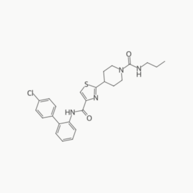 CCCNC(=O)N1CCC(c2nc(C(=O)Nc3ccccc3-c3ccc(Cl)cc3)cs2)CC1